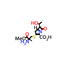 COC(=O)[C@@](C)(N)CSC1=C(C(=O)O)N2C(=O)[C@H](C(C)O)[C@H]2C1